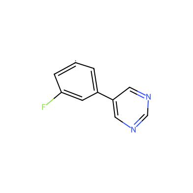 Fc1c[c]cc(-c2cncnc2)c1